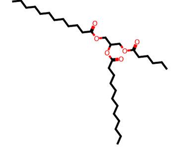 CCCCCCCCCCCC(=O)OCC(COC(=O)CCCCC)OC(=O)CCCCCCCCCCC